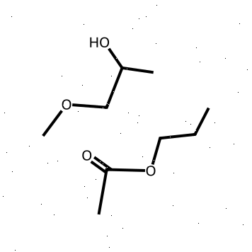 CCCOC(C)=O.COCC(C)O